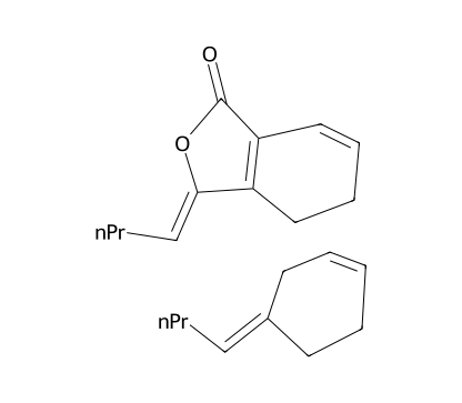 CCCC=C1CC=CCC1.CCCC=C1OC(=O)C2=C1CCC=C2